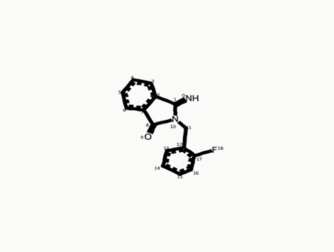 N=C1c2ccccc2C(=O)N1Cc1ccccc1F